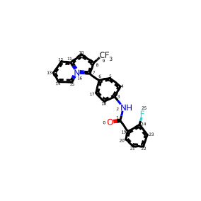 O=C(Nc1ccc(-c2c(C(F)(F)F)cc3ccccn23)cc1)c1ccccc1F